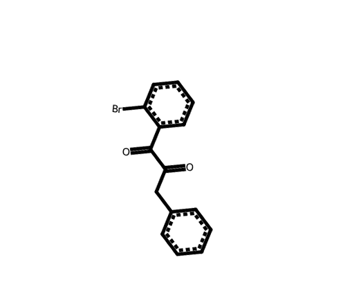 O=C(Cc1ccccc1)C(=O)c1ccccc1Br